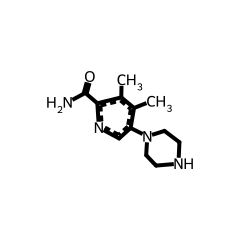 Cc1c(N2CCNCC2)cnc(C(N)=O)c1C